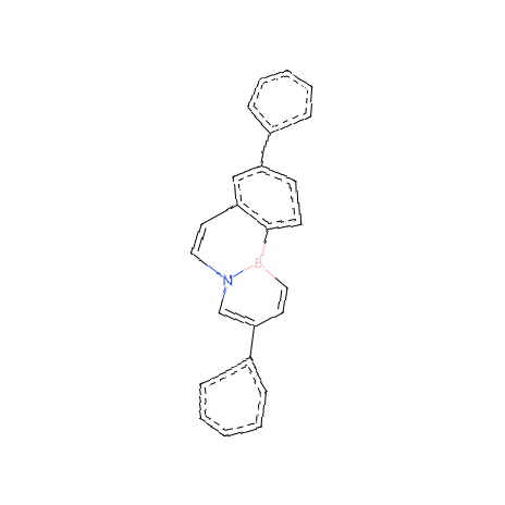 C1=CC(c2ccccc2)=CN2C=Cc3cc(-c4ccccc4)ccc3B12